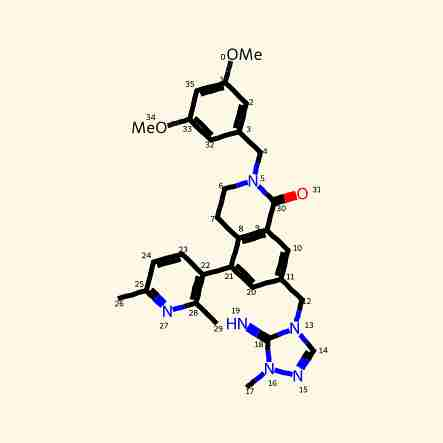 COc1cc(CN2CCc3c(cc(Cn4cnn(C)c4=N)cc3-c3ccc(C)nc3C)C2=O)cc(OC)c1